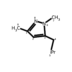 Cc1cc(CC(C)C)n(C)n1